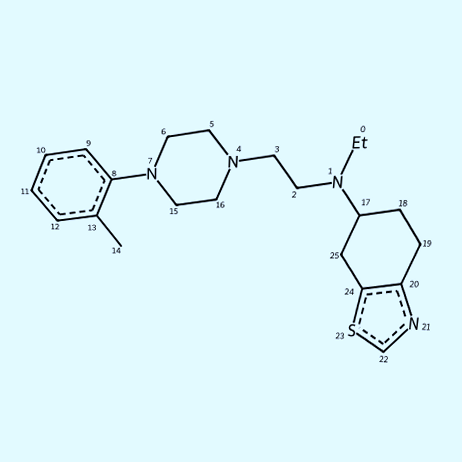 CCN(CCN1CCN(c2ccccc2C)CC1)C1CCc2ncsc2C1